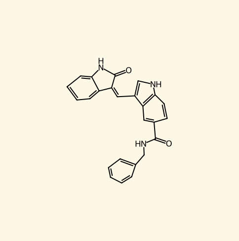 O=C1Nc2ccccc2C1=Cc1c[nH]c2ccc(C(=O)NCc3ccccc3)cc12